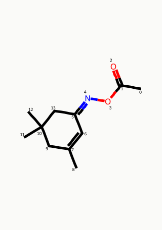 CC(=O)ON=C1C=C(C)CC(C)(C)C1